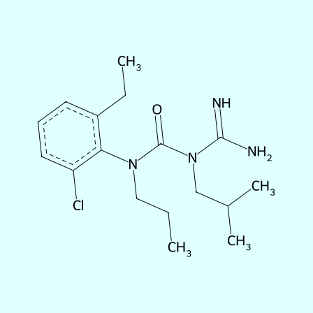 CCCN(C(=O)N(CC(C)C)C(=N)N)c1c(Cl)cccc1CC